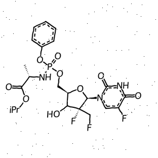 CC(C)OC(=O)[C@H](C)N[P@](=O)(OC[C@H]1O[C@@H](n2cc(F)c(=O)[nH]c2=O)[C@@](F)(CF)C1O)Oc1ccccc1